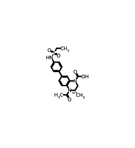 CCS(=O)(=O)Nc1ccc(-c2ccc3c(c2)N(C(=O)O)C[C@H](C)N3C(C)=O)cc1